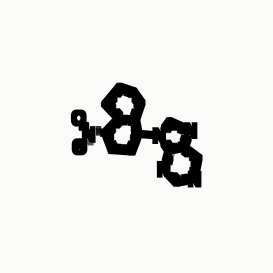 O=[N+]([O-])c1ccc(-n2cnc3cncnc32)c2ccccc12